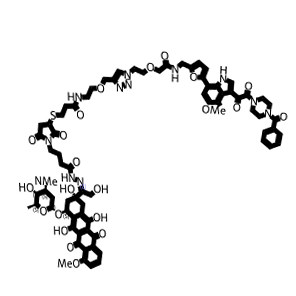 CN[C@H]1C[C@H](O[C@H]2C[C@](O)(/C(CO)=N\NC(=O)CCCN3C(=O)CC(SCCC(=O)NCCOCc4cn(CCOCC(=O)NCc5ccc(-c6ccc(OC)c7c(C(=O)C(=O)N8CCN(C(=O)c9ccccc9)CC8)c[nH]c67)o5)nn4)C3=O)Cc3c(O)c4c(c(O)c32)C(=O)c2c(OC)cccc2C4=O)O[C@@H](C)[C@H]1O